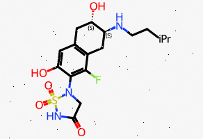 CC(C)CCN[C@H]1Cc2c(cc(O)c(N3CC(=O)NS3(=O)=O)c2F)C[C@@H]1O